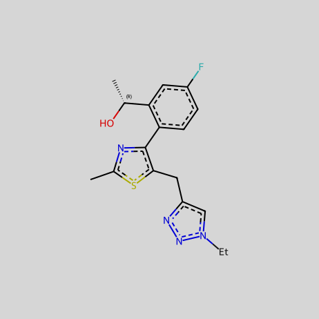 CCn1cc(Cc2sc(C)nc2-c2ccc(F)cc2[C@@H](C)O)nn1